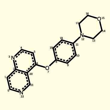 c1cc2nccc(Oc3ccc(N4CCOCC4)cc3)c2cn1